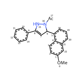 COc1ccc2c(C3C=C(c4ccccc4)NN3C(C)=O)cccc2c1